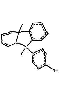 CCc1ccc(S2(I)c3ccccc3C3(C)C=CC=CC32)cc1